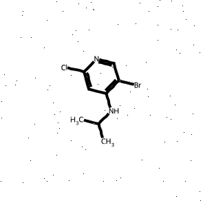 CC(C)Nc1cc(Cl)ncc1Br